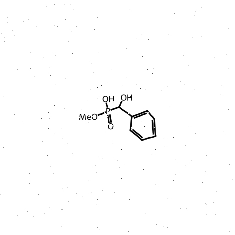 COP(=O)(O)C(O)c1ccccc1